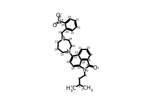 CC(C)CCN1C(=O)c2cccc3c(N4CCCN(Cc5ccccc5[N+](=O)[O-])CC4)ccc1c23